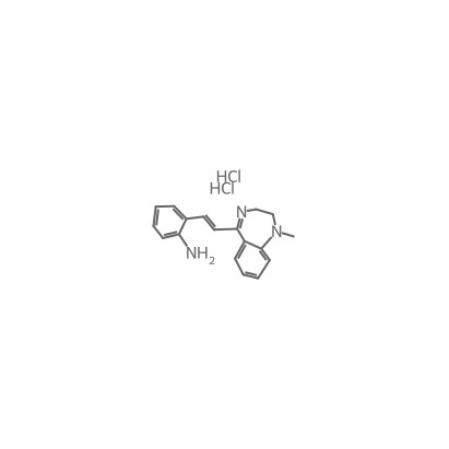 CN1CCN=C(C=Cc2ccccc2N)c2ccccc21.Cl.Cl